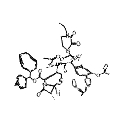 CCN1CCN(C(=O)NC(C(=O)NC(SC(C)=O)C2=C(C(=O)OC(c3ccccc3)c3ccccc3)N3C(=O)[C@@H](C)[C@H]3SC2)c2ccc(OC(C)=O)c(OC(C)=O)c2)C(=O)C1=O